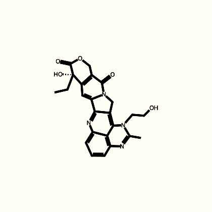 CC[C@@]1(O)C(=O)OCc2c1cc1n(c2=O)Cc2c-1nc1cccc3c1c2N(CCO)C(C)=N3